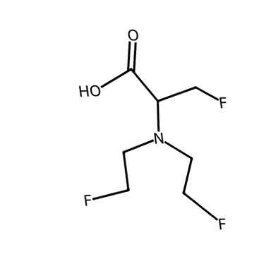 O=C(O)C(CF)N(CCF)CCF